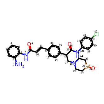 Nc1ccccc1NC(=O)/C=C/c1ccc(C(CN2CC[S+]([O-])CC2)C(=O)Nc2ccc(Cl)cc2)cc1